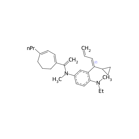 C=C/C=C(\c1cc(N(C)C(=C)C2=CC=C(CCC)CCC2)ccc1N(C)CC)C1CC1